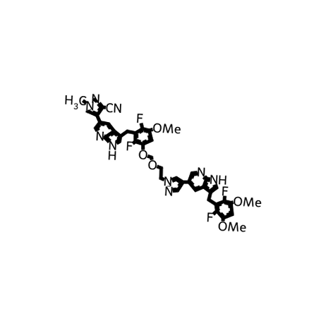 COc1cc(OC)c(F)c(Cc2c[nH]c3ncc(-c4cnn(CCOCOc5cc(OC)c(F)c(Cc6c[nH]c7ncc(-c8cn(C)nc8C#N)cc67)c5F)c4)cc23)c1F